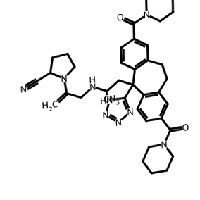 C=C(CN[C@H](C)CC1(c2nnn[nH]2)c2ccc(C(=O)N3CCCCC3)cc2CCc2cc(C(=O)N3CCCCC3)ccc21)N1CCCC1C#N